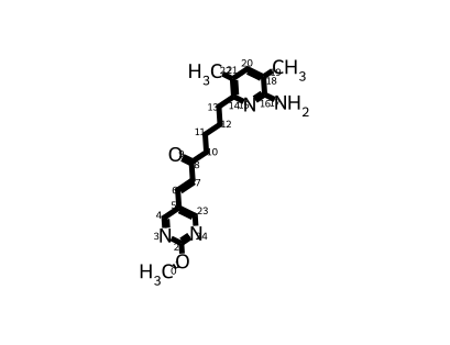 COc1ncc(C=CC(=O)CCCCc2nc(N)c(C)cc2C)cn1